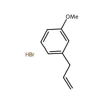 Br.C=CCc1cccc(OC)c1